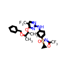 C[C@@H](OCc1ccccc1)[C@@H](C)Oc1nc(Nc2ccc(S(=O)(=NC(=O)C(F)(F)F)C3CC3)cc2)ncc1C(F)(F)F